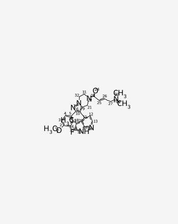 COc1ccc(-c2nn3c(c2-c2ccnc4[nH]cc(C)c24)CN(C(=O)/C=C/CN(C)C)CC3)cc1F